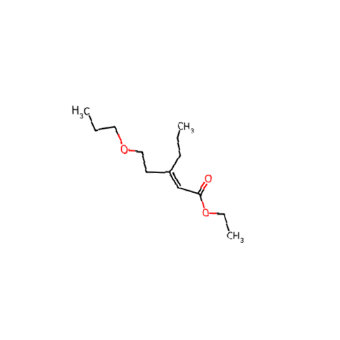 CCCOCC/C(=C/C(=O)OCC)CCC